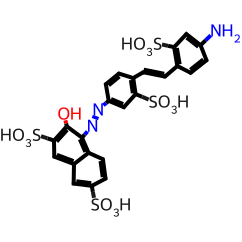 Nc1ccc(C=Cc2ccc(N=Nc3c(O)c(S(=O)(=O)O)cc4cc(S(=O)(=O)O)ccc34)cc2S(=O)(=O)O)c(S(=O)(=O)O)c1